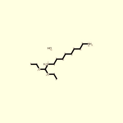 CCOC(OCC)[SiH2]CCCCCCCCN.Cl